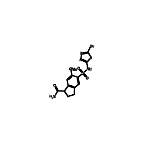 COc1cc2c(cc1S(=O)(=O)Nc1nnc(C(C)C)s1)C[CH]C2C(N)=O